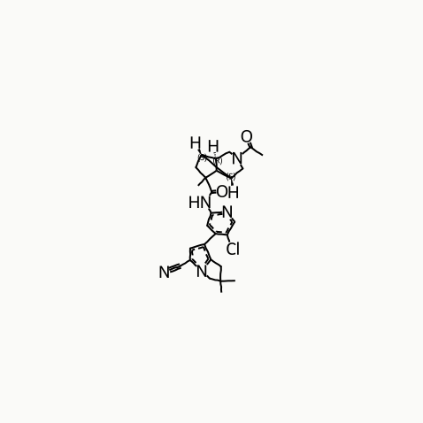 CC(=O)N1C[C@@H]2C3[C@H](C1)[C@H]2CC3(C)C(=O)Nc1cc(-c2cc(C#N)n3c2CC(C)(C)C3)c(Cl)cn1